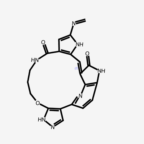 C=Nc1cc2c([nH]1)/C=C1\C(=O)Nc3ccc(nc31)-c1cn[nH]c1OCCCNC2=O